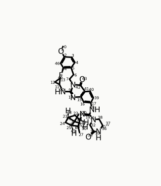 COc1ccc(CCn2c(NC3CC3)nc3cc(NC(=N[C@H]4C[C@H]5C[C@@H]([C@@H]4C)C5(C)C)N4CC(=O)N[C@@H](C)C4)ccc3c2=O)c(F)c1